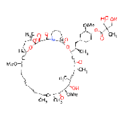 CO[C@@H]1/C=C/C=C/C=C/[C@@H](C)C[C@@H](C)C(=O)[C@H](OC)[C@H](O)/C(C)=C/[C@@H](C)C(=O)C[C@@H]([C@H](C)C[C@@H]2CC[C@@H](OC(=O)C(C)(CO)CO)[C@H](O[13CH3])C2)OC(=O)[C@@H]2CCCCN2C(=O)C(=O)[C@]2(O)O[C@@H](CC[C@H]2C)C1